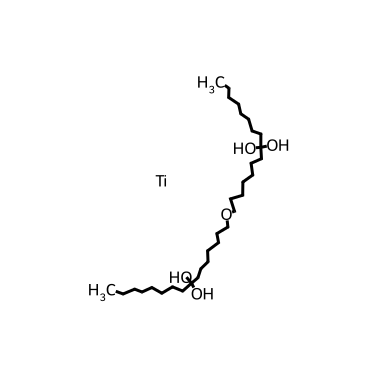 CCCCCCCCC(O)(O)CCCCCCCOCCCCCCCC(O)(O)CCCCCCCC.[Ti]